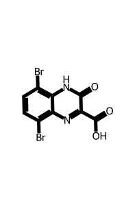 O=C(O)c1nc2c(Br)ccc(Br)c2[nH]c1=O